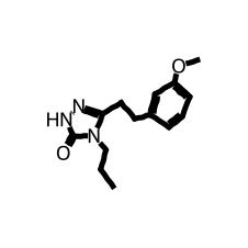 CCCn1c(CCc2cccc(OC)c2)n[nH]c1=O